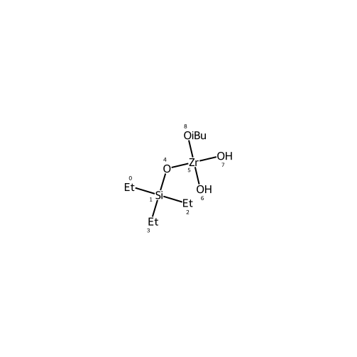 CC[Si](CC)(CC)[O][Zr]([OH])([OH])[O]CC(C)C